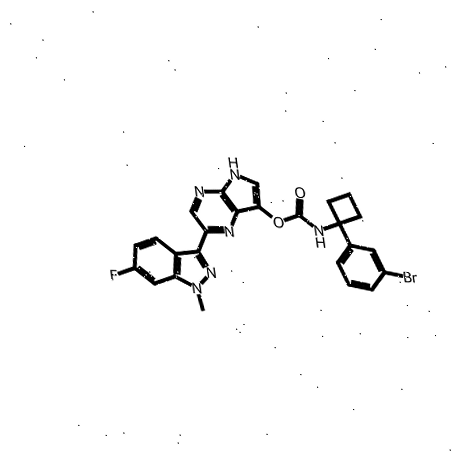 Cn1nc(-c2cnc3[nH]cc(OC(=O)NC4(c5cccc(Br)c5)CCC4)c3n2)c2ccc(F)cc21